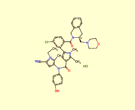 CCn1c(C#N)cc(N(C(=O)c2cc(-c3cc(Cl)ccc3C(=O)N3Cc4ccccc4C[C@H]3CN3CCOCC3)n(C)c2C)c2ccc(O)cc2)c1C.Cl